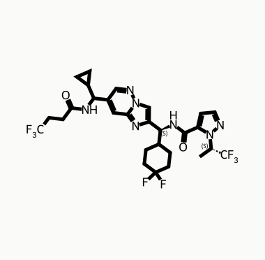 C[C@H](n1nccc1C(=O)N[C@H](c1cn2ncc(C(NC(=O)CCC(F)(F)F)C3CC3)cc2n1)C1CCC(F)(F)CC1)C(F)(F)F